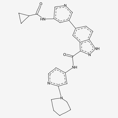 O=C(Nc1ccnc(N2CCCCC2)c1)c1n[nH]c2ccc(-c3cncc(NC(=O)C4CC4)c3)cc12